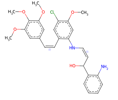 COc1cc(N/C=C\C(O)c2ccccc2N)c(/C=C\c2cc(OC)c(OC)c(OC)c2)cc1Cl